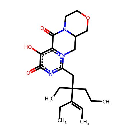 C/C=C(\CC)C(CC)(CCC)Cc1nc(=O)c(O)c2n1CC1COCCN1C2=O